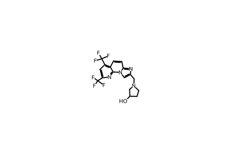 OC1CCN(Cc2cn3c(ccc4c(C(F)(F)F)cc(C(F)(F)F)nc43)n2)C1